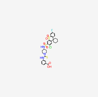 O=C(O)c1cccc(NC(=S)N2CCC(NS(=O)(=O)c3cc4c(cc3Cl)C3(CCCCC3)c3ccc(F)cc3S4(=O)=O)CC2)c1